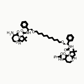 CC(C)C(=O)NC1CCS[C@H]2CC(C)(C)[C@@H](C(=O)N[C@H](COCCCCCCCCCCOC[C@@H](NC(=O)[C@H]3N4C(=O)[C@@H](N)CCS[C@H]4CC3(C)C)c3ccccc3)c3ccccc3)N2C1=O